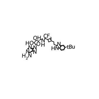 CC(C)(C)c1ccc2[nH]c(CCC3CC(C(NC[C@H]4O[C@@H](n5cnc6c(N)ncnc65)[C@@H](O)[C@H]4O)C(F)(F)F)C3)nc2c1